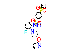 CCS(=O)(=O)c1ccc(S(=O)(=O)Nc2cccc(F)c2N2CCC(Oc3ccccn3)CC2)cc1